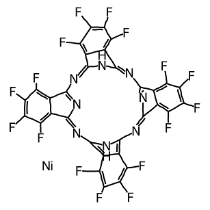 Fc1c(F)c(F)c2c(c1F)-c1nc-2nc2[nH]c(nc3nc(nc4[nH]c(n1)c1c(F)c(F)c(F)c(F)c41)-c1c(F)c(F)c(F)c(F)c1-3)c1c(F)c(F)c(F)c(F)c21.[Ni]